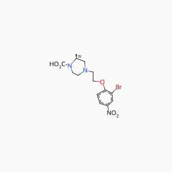 C[C@H]1CN(CCOc2ccc([N+](=O)[O-])cc2Br)CCN1C(=O)O